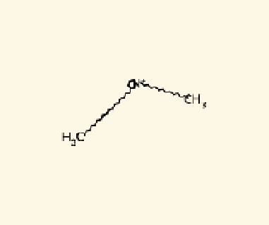 CCCCCCCCCCCCCCCCCCc1ccc[n+](CCCCCCCCCCCCCC)c1